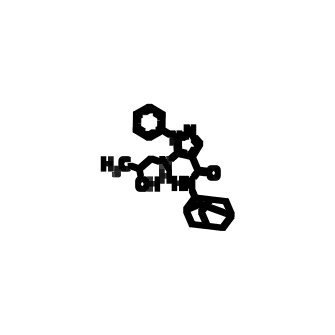 CC(O)CNc1c(C(=O)NC2C3CC4CC(C3)CC2C4)cnn1-c1ccccc1